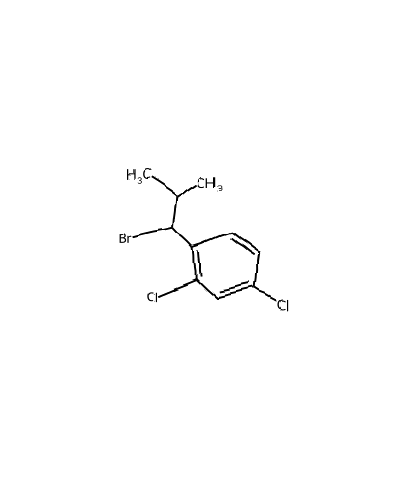 CC(C)C(Br)c1ccc(Cl)cc1Cl